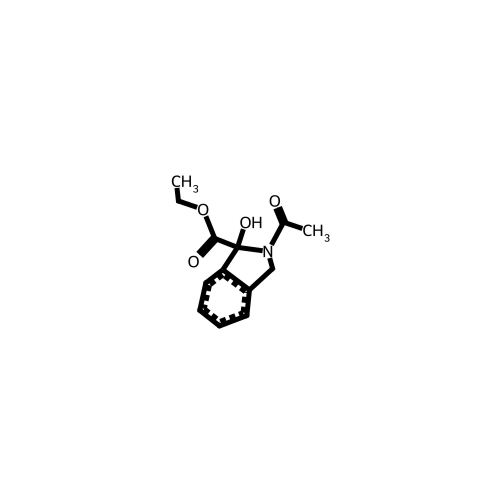 CCOC(=O)C1(O)c2ccccc2CN1C(C)=O